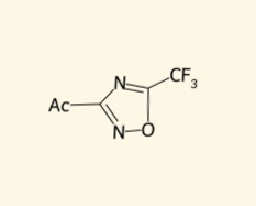 CC(=O)c1noc(C(F)(F)F)n1